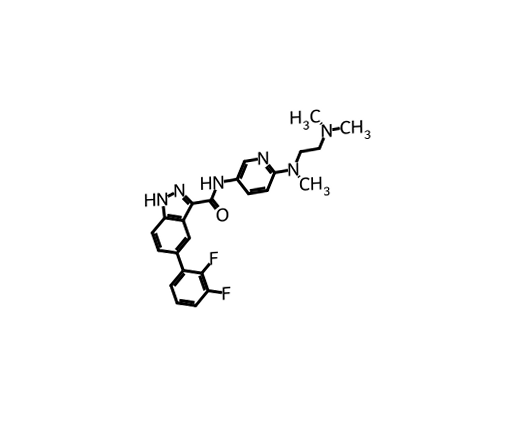 CN(C)CCN(C)c1ccc(NC(=O)c2n[nH]c3ccc(-c4cccc(F)c4F)cc23)cn1